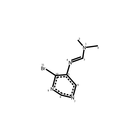 CN(C)/C=N/c1cncnc1Br